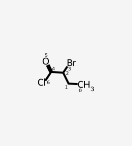 CCC(Br)C(=O)Cl